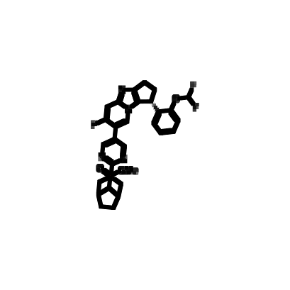 COC(=O)C1C2CCC1CN(c1ncc(-c3cn4c5c(nc4cc3F)CC[C@@H]5c3ccccc3OC(F)F)cn1)C2